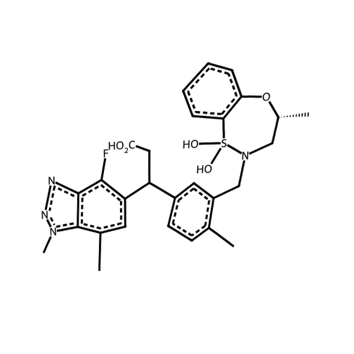 Cc1ccc(C(CC(=O)O)c2cc(C)c3c(nnn3C)c2F)cc1CN1C[C@@H](C)Oc2ccccc2S1(O)O